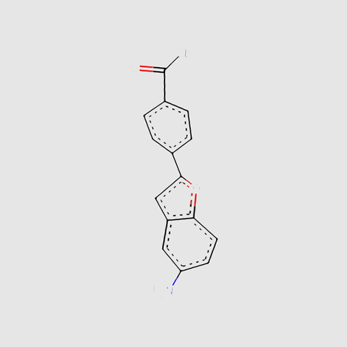 CC(C)(C)C(=O)c1ccc(-c2cc3cc(N)ccc3o2)cc1